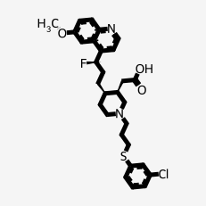 COc1ccc2nccc([C@H](F)CC[C@@H]3CCN(CCCSc4cccc(Cl)c4)C[C@@H]3CC(=O)O)c2c1